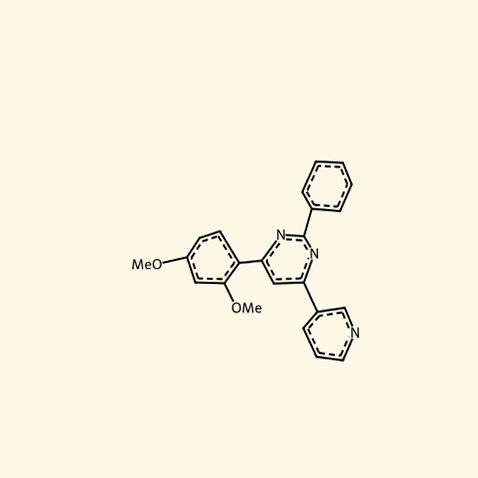 COc1ccc(-c2cc(-c3cccnc3)nc(-c3ccccc3)n2)c(OC)c1